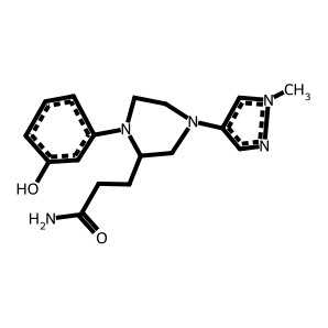 Cn1cc(N2CCN(c3cccc(O)c3)C(CCC(N)=O)C2)cn1